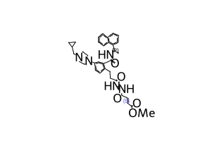 COC(=O)/C=C/C(=O)NNC(=O)CCc1ccc(N2CCN(CC3CC3)CC2)cc1C(=O)N[C@H](C)c1cccc2ccccc12